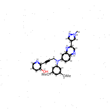 COc1cc(OC)cc(N(CC#Cc2ncccc2O)c2ccc3ncc(-c4cnn(C)c4)nc3c2)c1